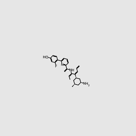 C=C/C=C(\C(=C/C)NC(=C)c1cccc(-c2ccc(O)cc2F)n1)[C@@H]1C[C@H](C)C[C@H](N)C1